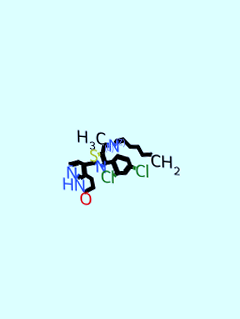 C=CCCC/C=C\N=C(/C)c1sc(-c2ccnc3c2CCC(=O)N3)nc1-c1ccc(Cl)cc1Cl